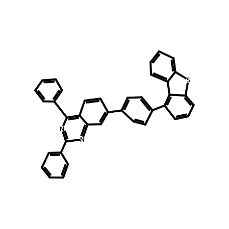 c1ccc(-c2nc(-c3ccccc3)c3ccc(-c4ccc(-c5cccc6sc7ccccc7c56)cc4)cc3n2)cc1